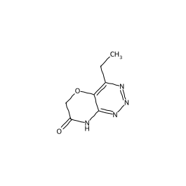 CCc1nnnc2c1OCC(=O)N2